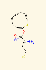 N[C@@H](CCS)C1(Oc2cccccccs2)NO1